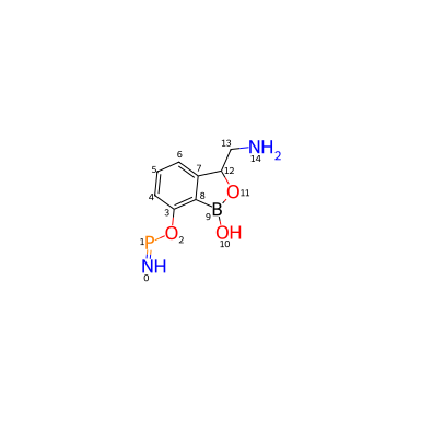 N=POc1cccc2c1B(O)OC2CN